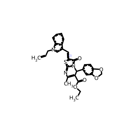 C=CCn1cc(/C=c2\sc3n(c2=O)C(c2ccc4c(c2)OCO4)C(C(=O)OCC)=C(C)N=3)c2ccccc21